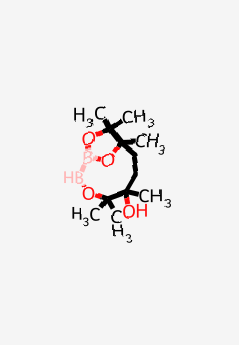 CC1(O)CCC2(C)OB(BOC1(C)C)OC2(C)C